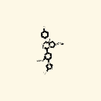 COc1nc(C2=NO[C@H](c3ccc(Cl)cc3)[C@@H]3C[C@@H](OC)CN23)ccc1-n1cnc(C)c1